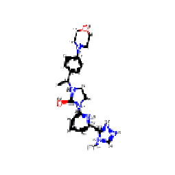 CC(c1ccc(N2CCOCC2)cc1)N1CCN(c2cccc(-c3nncn3C(C)C)n2)C1=O